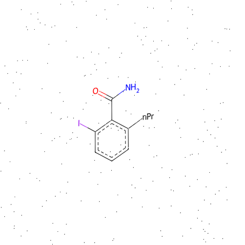 CCCc1cccc(I)c1C(N)=O